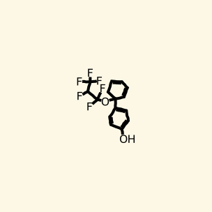 Oc1ccc(C2(OC(F)(F)C(F)C(F)(F)F)C=CC=CC2)cc1